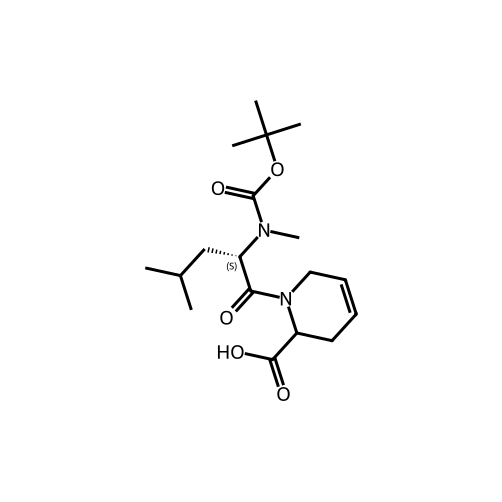 CC(C)C[C@@H](C(=O)N1CC=CCC1C(=O)O)N(C)C(=O)OC(C)(C)C